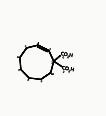 O=C(O)C1(C(=O)O)C=CCCCCCC1